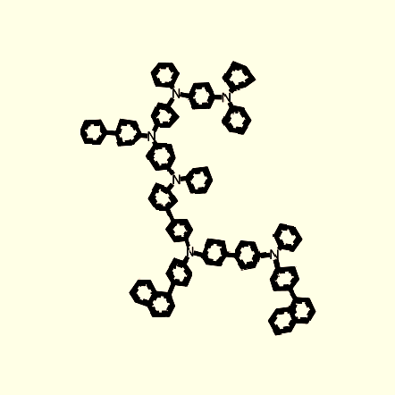 c1ccc(-c2ccc(N(c3ccc(N(c4ccccc4)c4ccc(N(c5ccccc5)c5ccccc5)cc4)cc3)c3ccc(N(c4ccccc4)c4cccc(-c5ccc(N(c6ccc(-c7ccc(N(c8ccccc8)c8ccc(-c9cccc%10ccccc9%10)cc8)cc7)cc6)c6ccc(-c7cccc8ccccc78)cc6)cc5)c4)cc3)cc2)cc1